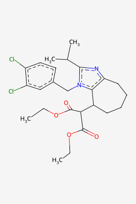 CCOC(=O)C(C(=O)OCC)C1CCCCc2nc(C(C)C)n(Cc3ccc(Cl)c(Cl)c3)c21